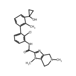 Cc1c(-c2cccc(NC(=O)c3nc4c(n3C)CCN(C)C4)c2Cl)cccc1C1(O)CC1